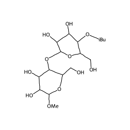 CCC(C)OC1C(CO)OC(OC2C(CO)OC(OC)C(O)C2O)C(O)C1O